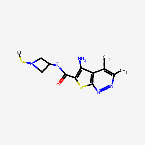 CCSN1CC(NC(=O)c2sc3nnc(C)c(C)c3c2N)C1